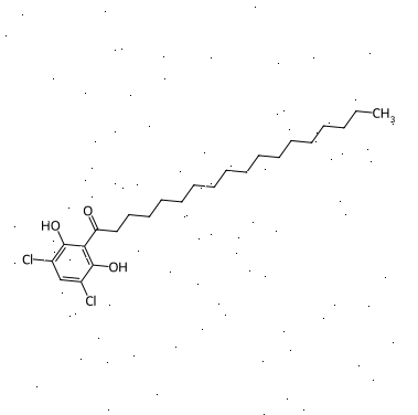 CCCCCCCCCCCCCCCCCC(=O)c1c(O)c(Cl)cc(Cl)c1O